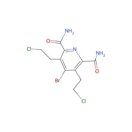 NC(=O)c1nc(C(N)=O)c(CCCl)c(Br)c1CCCl